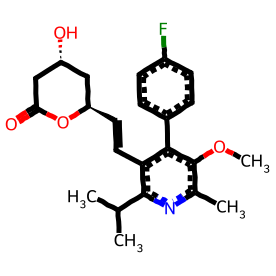 COc1c(C)nc(C(C)C)c(/C=C/[C@@H]2C[C@@H](O)CC(=O)O2)c1-c1ccc(F)cc1